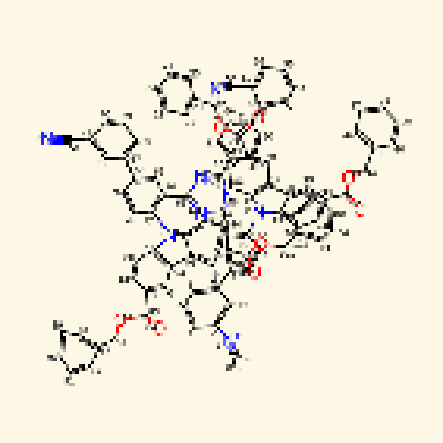 [C-]#[N+]c1cccc(-c2ccc(-n3c4ccc(C(=O)OCc5ccccc5)cc4c4cc(C(=O)OCc5ccccc5)ccc43)c(-c3nc(-c4ccc(-c5ccccc5C#N)cc4)nc(-c4cc(-c5cccc(C#N)c5)ccc4-n4c5ccc(C(=O)OCc6ccccc6)cc5c5cc(C(=O)OCc6ccccc6)ccc54)n3)c2)c1